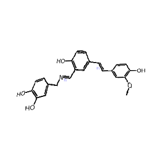 COc1cc(/C=C/c2ccc(O)c(/C=N/Cc3ccc(O)c(O)c3)c2)ccc1O